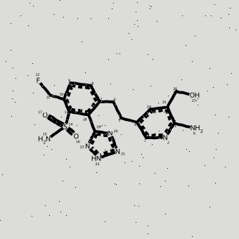 Nc1ncc(CCc2ccc(CF)c(S(N)(=O)=O)c2-c2nn[nH]n2)cc1CO